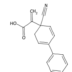 C=C(C(=O)O)C1(C#N)C=CC(c2ccccc2)=CC1